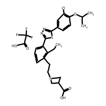 CCc1c(CCN2CC(C(=O)O)C2)cccc1-c1nnc(-c2ccc(OC(C)C)c(Cl)c2)s1.O=C(O)C(F)(F)F